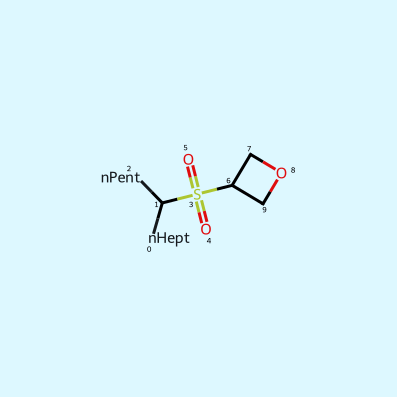 CCCCCCCC(CCCCC)S(=O)(=O)C1COC1